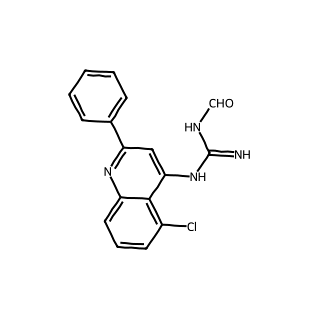 N=C(NC=O)Nc1cc(-c2ccccc2)nc2cccc(Cl)c12